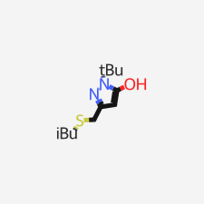 CCC(C)SCc1cc(O)n(C(C)(C)C)n1